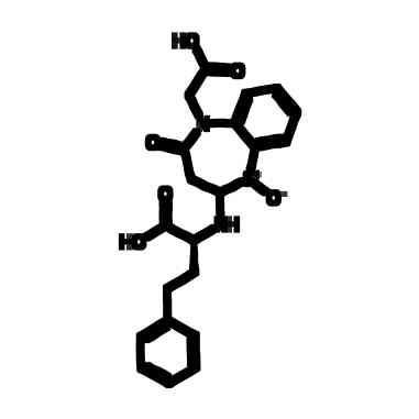 O=C(O)CN1C(=O)CC(N[C@@H](CCc2ccccc2)C(=O)O)[S+]([O-])c2ccccc21